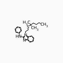 CCCCC(C)(C)SCCn1c(Nc2ccccc2)nc2ccccc21